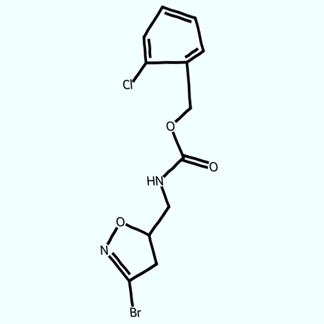 O=C(NCC1CC(Br)=NO1)OCc1ccccc1Cl